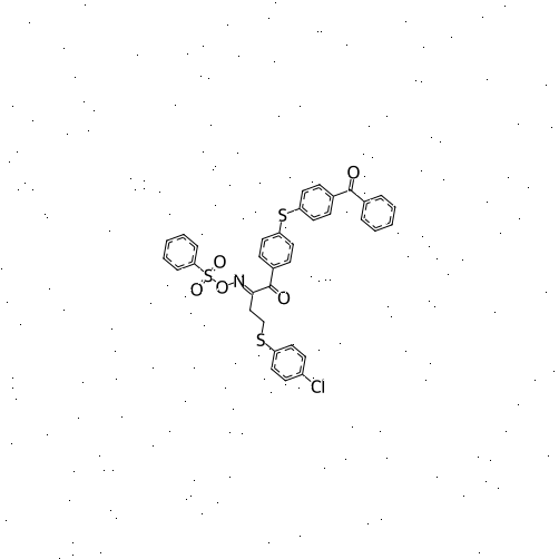 O=C(/C(CCSc1ccc(Cl)cc1)=N/OS(=O)(=O)c1ccccc1)c1ccc(Sc2ccc(C(=O)c3ccccc3)cc2)cc1